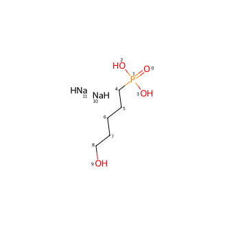 O=P(O)(O)CCCCCO.[NaH].[NaH]